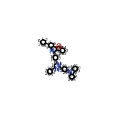 c1ccc(-c2ccc3c(c2)nc(-c2ccc(-c4cc(-c5ccccc5)nc(-c5ccc(-n6c7ccccc7c7ccccc76)cc5)n4)cc2)c2c4ccccc4oc32)cc1